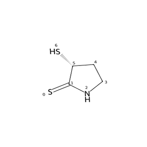 S=C1NCC[C@H]1S